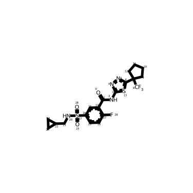 O=C(Nc1nnc(C2(C(F)(F)F)CCCC2)s1)c1cc(S(=O)(=O)NCC2CC2)ccc1F